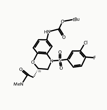 CNC(=O)C[C@H]1CN(S(=O)(=O)c2ccc(F)c(Cl)c2)c2cc(NC(=O)OC(C)(C)C)ccc2O1